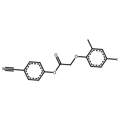 Cc1cc(I)ccc1OCC(=O)Oc1ccc(C#N)cc1